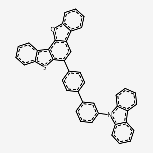 c1cc(-c2ccc(-c3cc4c5ccccc5oc4c4c3sc3ccccc34)cc2)cc(-n2c3ccccc3c3ccccc32)c1